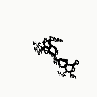 CCC[C@@H]1OC(=O)c2ccc(Nc3cc4c(C(C)(C)N)cnc(OC)c4cn3)nc2[C@@H]1C